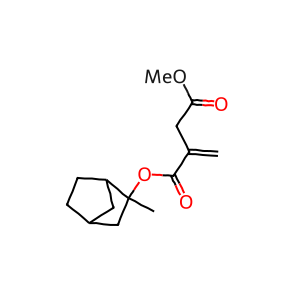 C=C(CC(=O)OC)C(=O)OC1(C)CC2CCC1C2